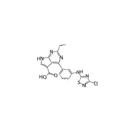 CCc1nc(-c2cccc(Nc3nc(Cl)ns3)c2)c2c(C(=O)O)c[nH]c2n1